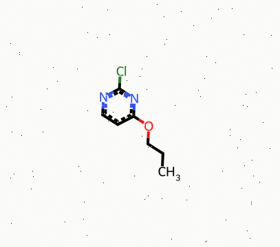 CCCOc1ccnc(Cl)n1